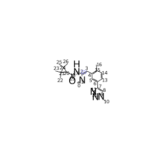 C=N/C(=C\c1cc(-c2cn(C)nn2)ccc1C)NC(=O)C1C(C)(C)C1(C)C